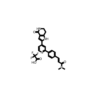 CN(C)C(=O)C=Cc1ccc(-c2cc(-c3cc4c([nH]3)CCNC4=O)ccn2)cc1.O=C(O)C(F)(F)F